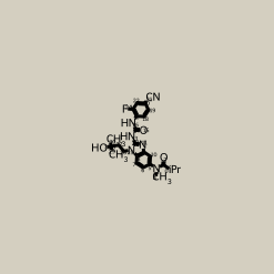 CC(C)C(=O)N(C)c1ccc2c(c1)nc(NC(=O)Nc1ccc(C#N)cc1F)n2CCC(C)(C)O